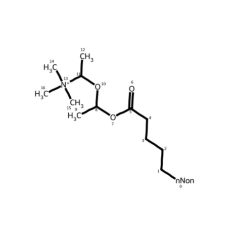 CCCCCCCCCCCCCC(=O)OC(C)OC(C)[N+](C)(C)C